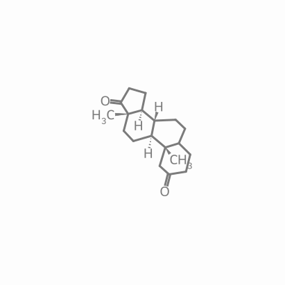 C[C@]12CC(=O)CCC1CC[C@@H]1[C@@H]2CC[C@]2(C)C(=O)CC[C@@H]12